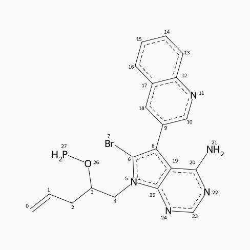 C=CCC(Cn1c(Br)c(-c2cnc3ccccc3c2)c2c(N)ncnc21)OP